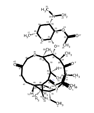 CC[C@H]1OC(=O)[C@H](C)C(=O)[C@H](C)[C@@H](O[C@@H]2O[C@H](C)C[C@H](N(C)C)[C@H]2OC(C)=O)[C@@]2(C)C[C@@H](C)/C(=N\C(C)=O)[C@H](C)[C@@H](CCC(=O)CO2)[C@]1(C)O